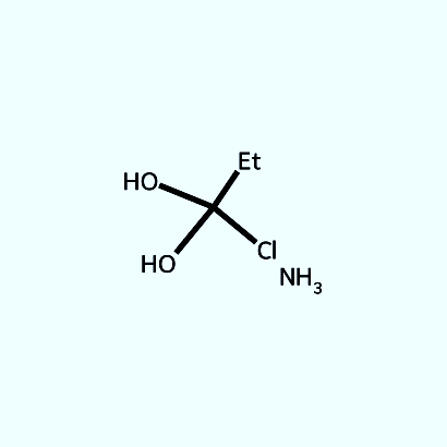 CCC(O)(O)Cl.N